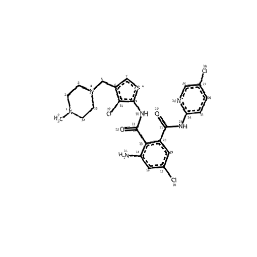 CN1CCN(Cc2csc(NC(=O)c3c(N)cc(Cl)cc3C(=O)Nc3ccc(Cl)cn3)c2Cl)CC1